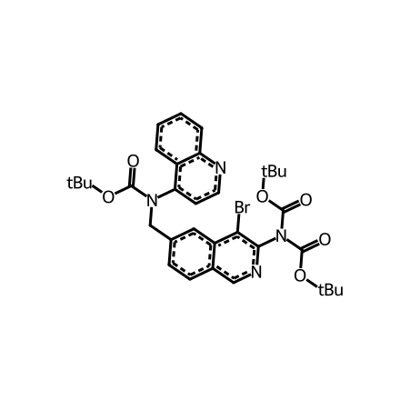 CC(C)(C)OC(=O)N(Cc1ccc2cnc(N(C(=O)OC(C)(C)C)C(=O)OC(C)(C)C)c(Br)c2c1)c1ccnc2ccccc12